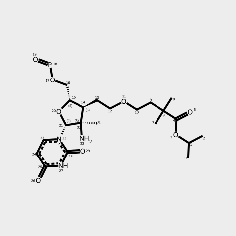 CC(C)OC(=O)C(C)(C)CCOCC[C@@H]1[C@@H](COP=O)O[C@@H](n2ccc(=O)[nH]c2=O)[C@]1(C)N